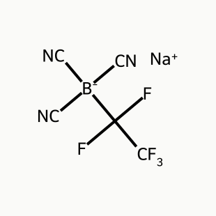 N#C[B-](C#N)(C#N)C(F)(F)C(F)(F)F.[Na+]